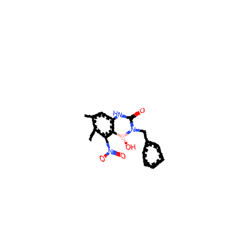 Cc1cc2c(c([N+](=O)[O-])c1C)B(O)N(Cc1ccccc1)C(=O)N2